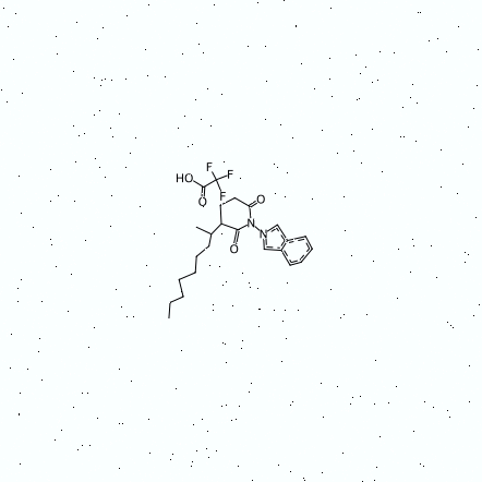 CCCCCCCC(C)C1CCC(=O)N(n2cc3ccccc3c2)C1=O.O=C(O)C(F)(F)F